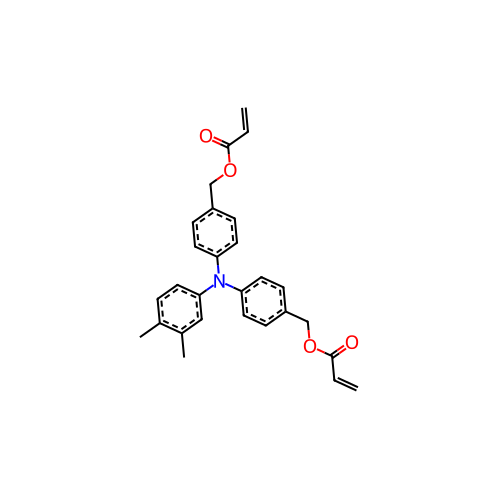 C=CC(=O)OCc1ccc(N(c2ccc(COC(=O)C=C)cc2)c2ccc(C)c(C)c2)cc1